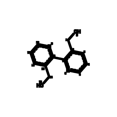 OCc1cccnc1-c1ncccc1CO